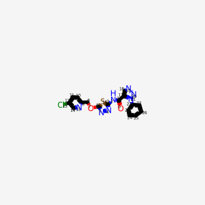 O=C(Nc1nnc(OCc2ccc(Cl)cn2)s1)c1cnnn1-c1ccccc1